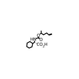 C=CCCC(C)OC(=O)N[C@H](C(=O)O)C1CCCCC1